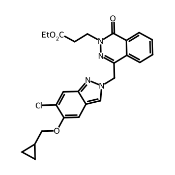 CCOC(=O)CCn1nc(Cn2cc3cc(OCC4CC4)c(Cl)cc3n2)c2ccccc2c1=O